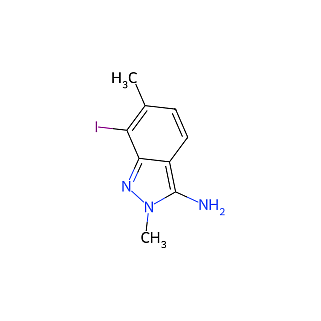 Cc1ccc2c(N)n(C)nc2c1I